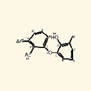 [CH2]c1cccc(Oc2cccc(C(C)=O)c2C(C)=O)c1O